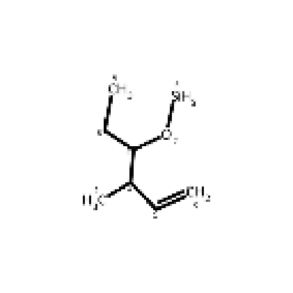 C=CC(C)C(CC)O[SiH3]